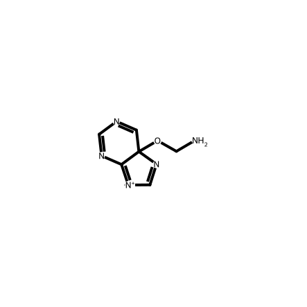 NCOC12C=NC=NC1=[N+]C=N2